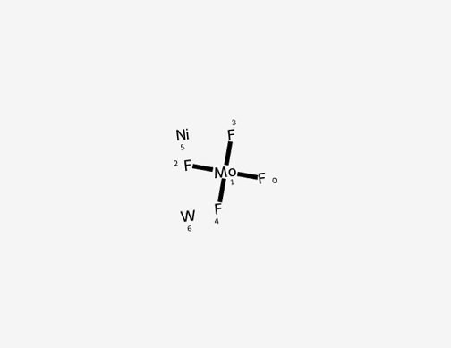 [F][Mo]([F])([F])[F].[Ni].[W]